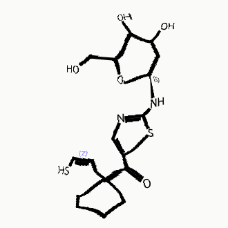 O=C(c1cnc(N[C@@H]2CC(O)C(O)C(CO)O2)s1)C1(/C=C\S)CCCC1